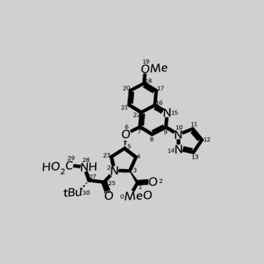 COC(=O)[C@@H]1C[C@@H](Oc2cc(-n3cccn3)nc3cc(OC)ccc23)CN1C(=O)[C@@H](NC(=O)O)C(C)(C)C